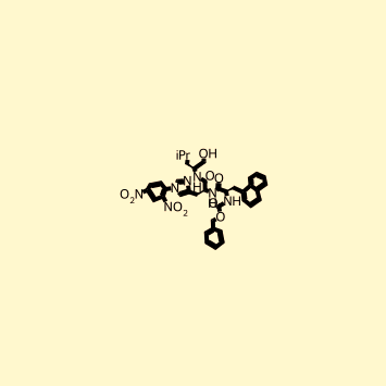 CC(C)C[C@@H](CO)NC(=O)[C@H](Cc1cn(-c2ccc([N+](=O)[O-])cc2[N+](=O)[O-])cn1)NC(=O)[C@@H](Cc1cccc2ccccc12)NC(=O)OCc1ccccc1